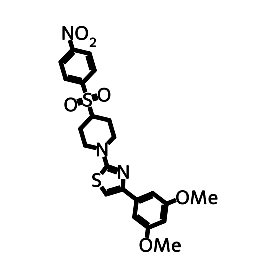 COc1cc(OC)cc(-c2csc(N3CCC(S(=O)(=O)c4ccc([N+](=O)[O-])cc4)CC3)n2)c1